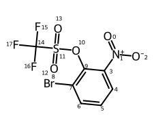 O=[N+]([O-])c1cccc(Br)c1OS(=O)(=O)C(F)(F)F